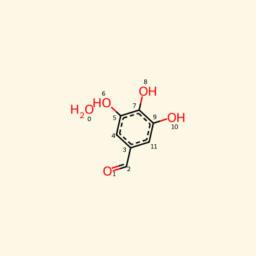 O.O=Cc1cc(O)c(O)c(O)c1